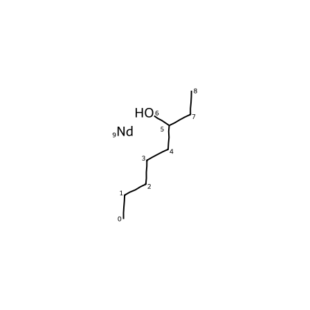 CCCCCC(O)CC.[Nd]